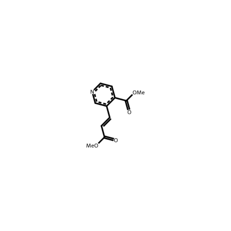 COC(=O)/C=C/c1cnccc1C(=O)OC